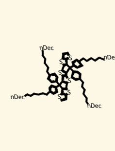 CCCCCCCCCCCCCCCCc1ccc(C2(c3ccc(CCCCCCCCCCCCCCCC)cc3)c3c(sc4ccsc34)-c3sc4c5c(sc4c32)-c2sc3ccsc3c2C5(c2ccc(CCCCCCCCCCCCCCCC)cc2)c2ccc(CCCCCCCCCCCCCCCC)cc2)cc1